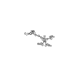 CC(C)(C)OC(=O)CCOCC(COCCC(=O)OC(C)(C)C)(COCCC(=O)OC(C)(C)C)NC(=O)COCCOCCOCCNc1ccc([N+](=O)[O-])cc1[N+](=O)[O-]